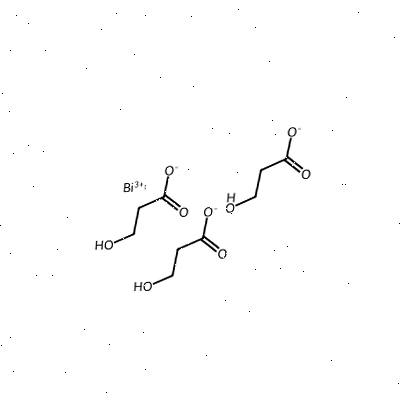 O=C([O-])CCO.O=C([O-])CCO.O=C([O-])CCO.[Bi+3]